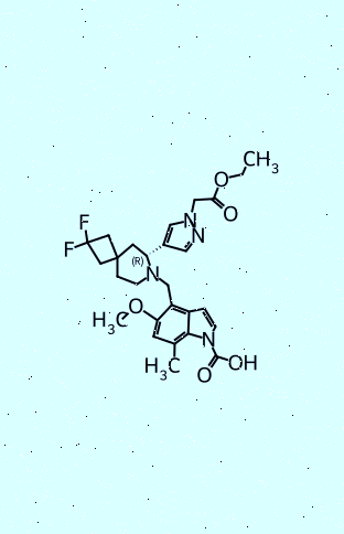 CCOC(=O)Cn1cc([C@H]2CC3(CCN2Cc2c(OC)cc(C)c4c2ccn4C(=O)O)CC(F)(F)C3)cn1